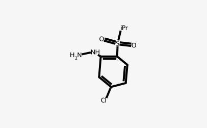 CC(C)S(=O)(=O)c1ccc(Cl)cc1NN